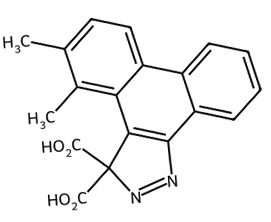 Cc1ccc2c(c1C)c1c(c3ccccc32)N=NC1(C(=O)O)C(=O)O